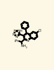 CC(C)C(N)c1nc2ccc(Cl)cc2c(-c2ccccc2)c1-c1nnn[nH]1